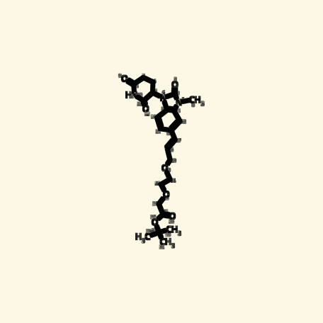 Cn1c(=O)n(C2CCC(=O)NC2=O)c2ccc(/C=C/COCCOCC(=O)OC(C)(C)C)cc21